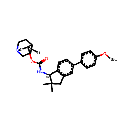 CC(C)(C)Oc1ccc(-c2ccc3c(c2)CC(C)(C)[C@H]3NC(=O)O[C@@H]2CN3CCC2CC3)cc1